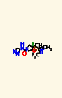 Cn1cc([S+]([O-])C(C)(F)C2CCN(C(=O)Nc3ccnnc3)CC2)c(C(F)(F)F)n1